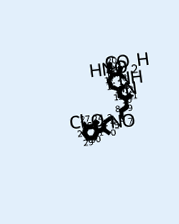 Cc1c(CN(C)C(=O)C=Cc2cnc3c(c2)CCC(NC(=O)O)C(=O)N3)oc2c(Cl)cccc12